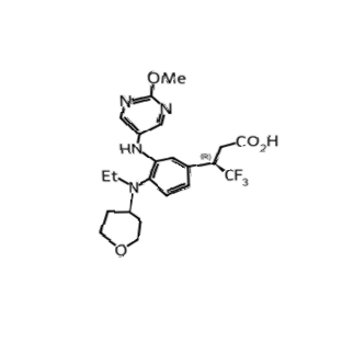 CCN(c1ccc([C@@H](CC(=O)O)C(F)(F)F)cc1Nc1cnc(OC)nc1)C1CCOCC1